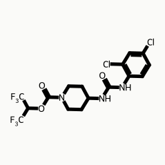 O=C(Nc1ccc(Cl)cc1Cl)NC1CCN(C(=O)OC(C(F)(F)F)C(F)(F)F)CC1